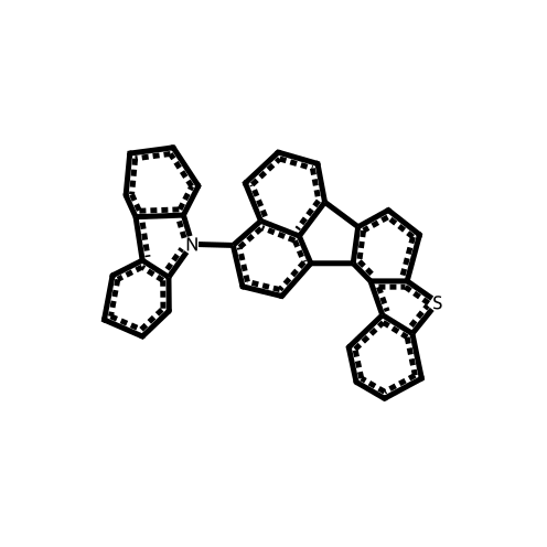 c1ccc2c(c1)sc1ccc3c(c12)-c1ccc(-n2c4ccccc4c4ccccc42)c2cccc-3c12